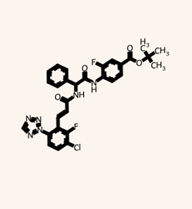 CC(C)(C)OC(=O)c1ccc(NC(=O)C(NC(=O)C=Cc2c(-n3ncnn3)ccc(Cl)c2F)c2ccccc2)c(F)c1